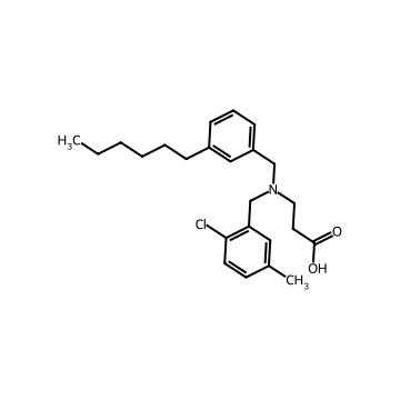 CCCCCCc1cccc(CN(CCC(=O)O)Cc2cc(C)ccc2Cl)c1